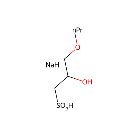 CCCOCC(O)CS(=O)(=O)O.[NaH]